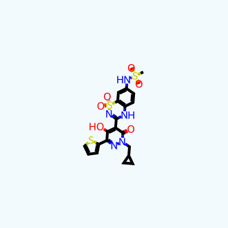 CS(=O)(=O)Nc1ccc2c(c1)S(=O)(=O)N=C(c1c(O)c(-c3cccs3)nn(CC3CC3)c1=O)N2